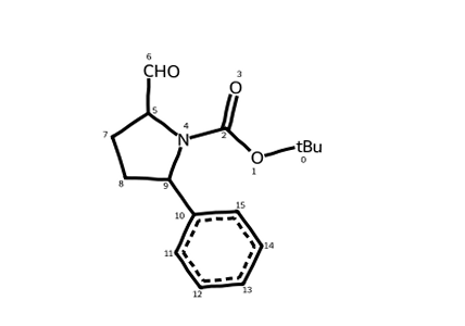 CC(C)(C)OC(=O)N1C(C=O)CCC1c1ccccc1